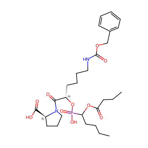 CCCCC(OC(=O)CCC)P(=O)(O)O[C@@H](CCCCNC(=O)OCc1ccccc1)C(=O)N1CCC[C@H]1C(=O)O